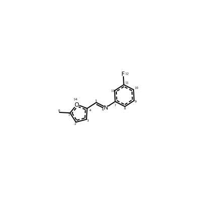 Cc1ccc(C=Nc2cccc(F)c2)o1